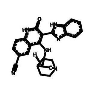 N#Cc1ccc2[nH]c(=O)c(-c3nc4ccccc4[nH]3)c(N[C@@H]3CN4CCC3CC4)c2c1